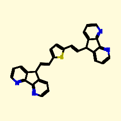 C(=CC1c2cccnc2-c2ncccc21)c1ccc(C=CC2c3cccnc3-c3ncccc32)s1